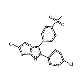 CS(=O)(=O)c1ccc(-c2c(-c3ccc(Cl)cc3)nc3sc(Cl)cn23)cc1